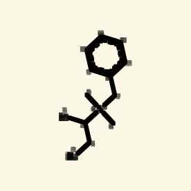 CCC(C)CC(CC)[N+](C)(C)Cc1ccccc1